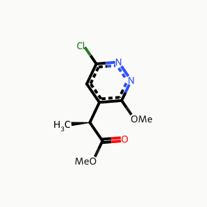 COC(=O)[C@@H](C)c1cc(Cl)nnc1OC